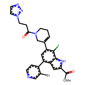 CCc1cnccc1-c1cc(C2=CCCN(C(=O)CCn3ccnn3)C2)c(F)c2[nH]c(C(=O)OC)cc12